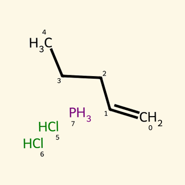 C=CCCC.Cl.Cl.P